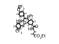 CCC[C@H](c1ccc(C(=O)NCCC(=O)OCC)cc1)[C@@H](C(=O)Nc1ccc(C(F)(F)F)cc1F)c1ccc(OC(F)(F)F)cc1